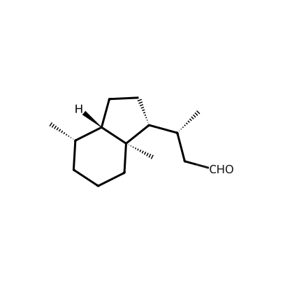 C[C@H](CC=O)[C@H]1CC[C@H]2[C@@H](C)CCC[C@]12C